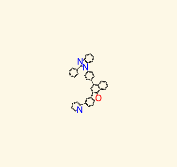 c1ccc(-c2nc3ccccc3n2-c2ccc(-c3cc4c5cc(-c6ccccn6)ccc5oc4c4ccccc34)cc2)cc1